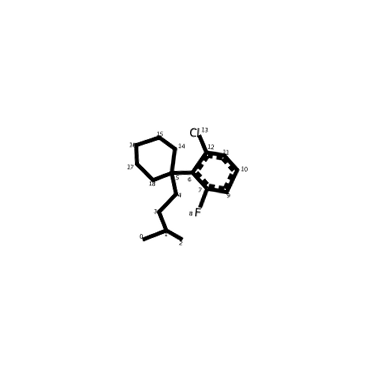 CC(C)CCC1(c2c(F)cccc2Cl)CCCCC1